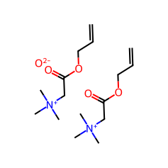 C=CCOC(=O)C[N+](C)(C)C.C=CCOC(=O)C[N+](C)(C)C.[O-2]